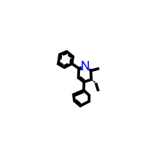 CC[C@@H]1C(C2=CC=CCC2)=CC(c2ccccc2)=NC1C